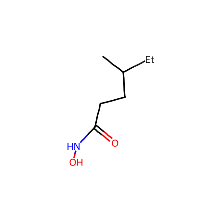 CCC(C)CCC(=O)NO